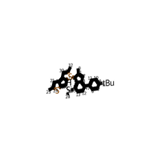 CC1=Cc2c(-c3ccc(C(C)(C)C)cc3)cccc2C1S1=C2C(=c3cc(C)sc3=C2[SiH](C)C)C=C1C